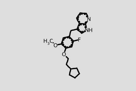 COc1cc(Cc2c[nH]c3ncccc23)c(F)cc1OCCC1CCCC1